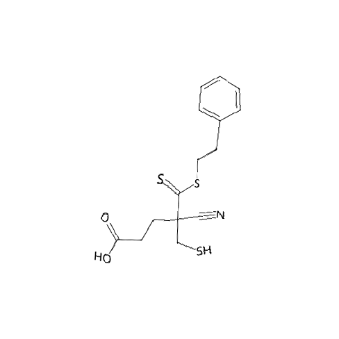 N#CC(CS)(CCC(=O)O)C(=S)SCCc1ccccc1